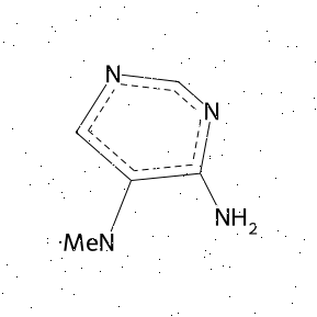 C[N]c1cncnc1N